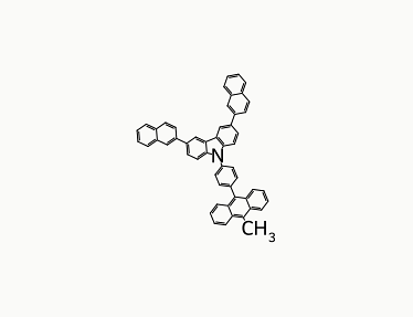 Cc1c2ccccc2c(-c2ccc(-n3c4ccc(-c5ccc6ccccc6c5)cc4c4cc(-c5ccc6ccccc6c5)ccc43)cc2)c2ccccc12